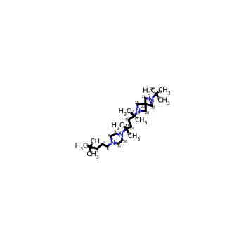 CC(C)(C)CCCN1CCN(C(C)(C)CCC(C)(C)N2CC3(CN(C(C)(C)C)C3)C2)CC1